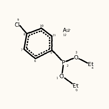 CCOP(OCC)c1ccc(Cl)cc1.[Au]